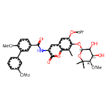 CCCOc1cc2cc(NC(=O)c3ccc(OC)c(-c4cccc(OC)c4)c3)c(=O)oc2c(C)c1O[C@@H]1OC(C)(C)[C@H](OC)[C@H](O)C1O